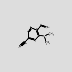 CN(C)c1cc(C#N)ccc1C=O